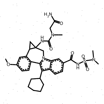 COc1ccc2c(c1)C1CC1(NC(=O)N(C)CC(N)=O)Cn1c-2c(C2CCCCC2)c2ccc(C(=O)NS(=O)(=O)N(C)C)cc21